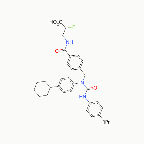 CC(C)c1ccc(NC(=O)N(Cc2ccc(C(=O)NCC(F)C(=O)O)cc2)c2ccc(C3CCCCC3)cc2)cc1